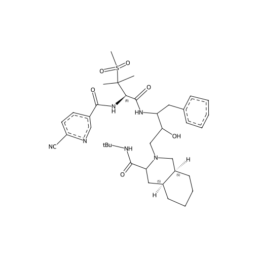 CC(C)(C)NC(=O)C1C[C@@H]2CCCC[C@@H]2CN1CC(O)C(Cc1ccccc1)NC(=O)[C@@H](NC(=O)c1ccc(C#N)nc1)C(C)(C)S(C)(=O)=O